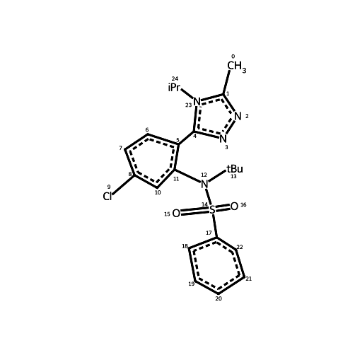 Cc1nnc(-c2ccc(Cl)cc2N(C(C)(C)C)S(=O)(=O)c2ccccc2)n1C(C)C